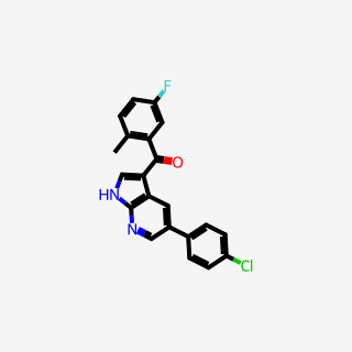 Cc1ccc(F)cc1C(=O)c1c[nH]c2ncc(-c3ccc(Cl)cc3)cc12